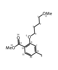 COCCCCOc1cc(C)ccc1C(=O)OC